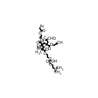 C#CCOC(=O)C(C)(CC(C)(C)C=O)CC(CC)(CC(C)(Br)C(=O)OCCOP(=O)(O)OCCN(C)C)C(=O)OCCOC(=O)CC(C)=O